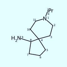 CC(C)N1CCC2(CCCC2N)CC1